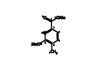 COC(=O)c1ccc(C)c(OC)n1